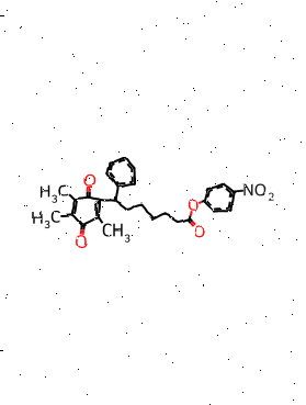 CC1=C(C)C(=O)C(C(CCCCCC(=O)Oc2ccc([N+](=O)[O-])cc2)c2ccccc2)=C(C)C1=O